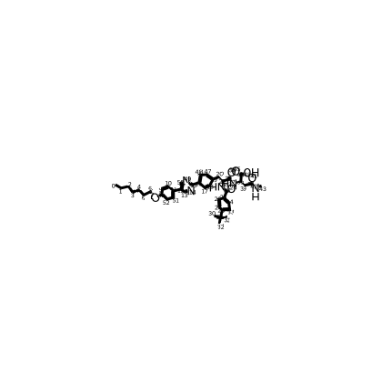 CCCCCCCOc1ccc(-c2cnc(-c3ccc(C[C@H](NC(=O)c4ccc(C(C)(C)C)cc4)C(=O)N[C@H](CC(=O)NC)C(=O)O)cc3)nc2)cc1